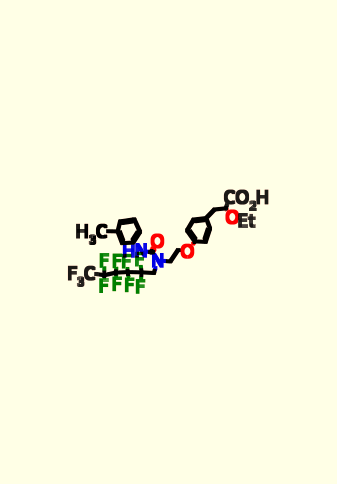 CCOC(Cc1ccc(OCCN(CC(F)(F)C(F)(F)C(F)(F)C(F)(F)C(F)(F)F)C(=O)Nc2cccc(C)c2)cc1)C(=O)O